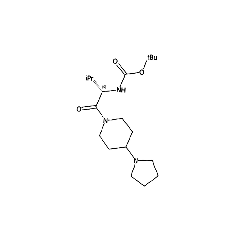 CC(C)[C@H](NC(=O)OC(C)(C)C)C(=O)N1CCC(N2CCCC2)CC1